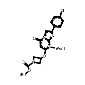 CCCCCn1c(OC2CN(C(=O)OC(C)(C)C)C2)cc(=O)n2cc(-c3ccc(Cl)cc3)nc12